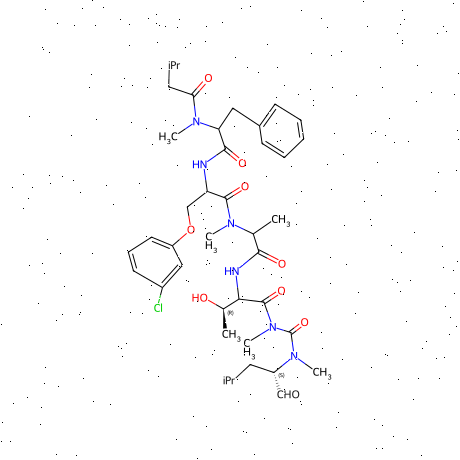 CC(C)CC(=O)N(C)C(Cc1ccccc1)C(=O)NC(COc1cccc(Cl)c1)C(=O)N(C)C(C)C(=O)NC(C(=O)N(C)C(=O)N(C)[C@H](C=O)CC(C)C)[C@@H](C)O